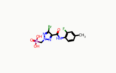 Cc1ccc(NC(=O)c2nn(CP(=O)(O)O)nc2Br)c(F)c1